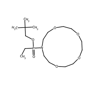 CCP(=O)(OCC(C)(C)C)N1CCOCCOCCOCCOCC1